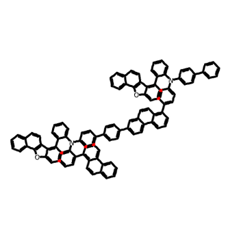 c1ccc(-c2ccc(N(c3ccc(-c4cccc5c4ccc4cc(-c6ccc(-c7ccc(N(c8ccccc8-c8cccc9c8ccc8ccccc89)c8ccccc8-c8cccc9oc%10c%11ccccc%11ccc%10c89)cc7)cc6)ccc45)cc3)c3ccccc3-c3cccc4oc5c6ccccc6ccc5c34)cc2)cc1